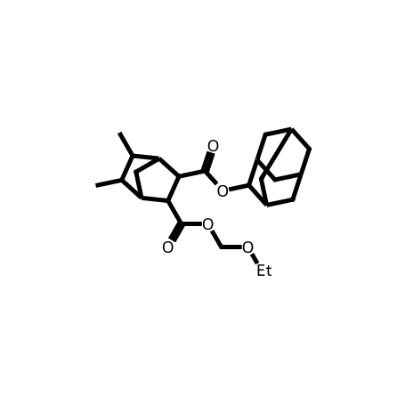 CCOCOC(=O)C1C2CC(C(C)C2C)C1C(=O)OC1C2CC3CC(C2)CC1C3